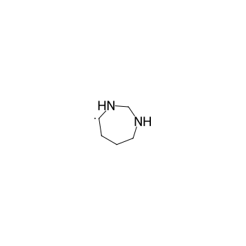 [CH]1CCCNCN1